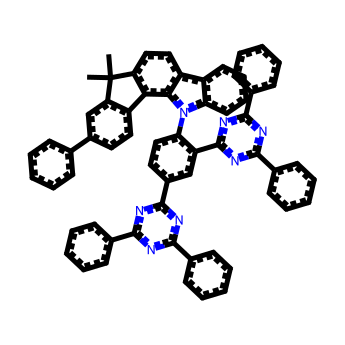 CC1(C)c2cc(-c3ccccc3)ccc2-c2c1ccc1c3ccccc3n(-c3ccc(-c4nc(-c5ccccc5)nc(-c5ccccc5)n4)cc3-c3nc(-c4ccccc4)nc(-c4ccccc4)n3)c21